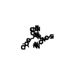 Cc1cc(OCCCc2c3n(c4c(-c5c(C)nn(C)c5C)c(Cl)ccc24)[C@H](C)CN(c2cn(COCC[Si](C)(C)C)c4ccc(-c5ncn(C)n5)cc24)C3)cc(C)c1Cl